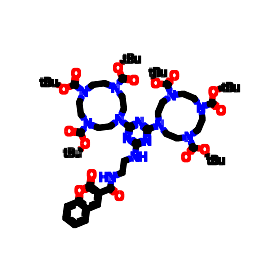 CC(C)(C)OC(=O)N1CCN(C(=O)OC(C)(C)C)CCN(c2nc(NCCNC(=O)c3cc4ccccc4oc3=O)nc(N3CCN(C(=O)OC(C)(C)C)CCN(C(=O)OC(C)(C)C)CCN(C(=O)OC(C)(C)C)CC3)n2)CCN(C(=O)OC(C)(C)C)CC1